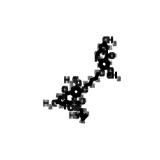 C=C1CC2C=Nc3cc(OCCCCCOc4cc5c(cc4OC)C(=O)N4CC(=C)C[C@H]4[C@H](O)N5C(=O)OCC4(S)CC4)c(OC)cc3C(=O)N2C1